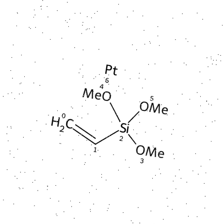 C=C[Si](OC)(OC)OC.[Pt]